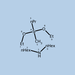 CCCCCCNCCCCCC.CCC[Si](C)(OCC)OCC